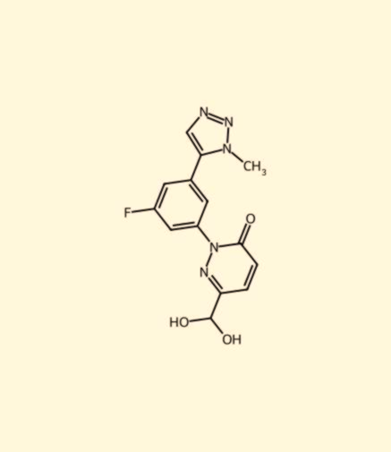 Cn1nncc1-c1cc(F)cc(-n2nc(C(O)O)ccc2=O)c1